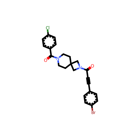 O=C(C#Cc1ccc(Br)cc1)N1CC2(CCN(C(=O)c3ccc(Cl)cc3)CC2)C1